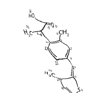 Cc1cc(N=c2sccn2C)ccc1C(C)C(=O)O